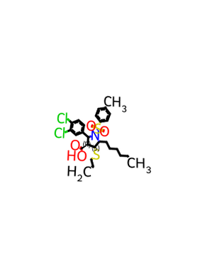 C=CCS[C@@H]1C(CCCCCC)N(S(=O)(=O)c2ccc(C)cc2)C(c2ccc(Cl)c(Cl)c2)[C@@H]1C(=O)O